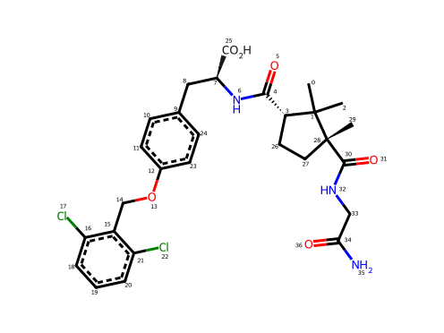 CC1(C)[C@@H](C(=O)N[C@@H](Cc2ccc(OCc3c(Cl)cccc3Cl)cc2)C(=O)O)CC[C@@]1(C)C(=O)NCC(N)=O